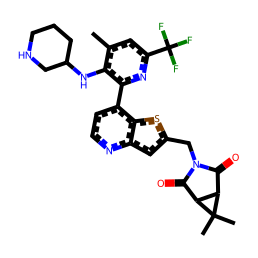 Cc1cc(C(F)(F)F)nc(-c2ccnc3cc(CN4C(=O)C5C(C4=O)C5(C)C)sc23)c1NC1CCCNC1